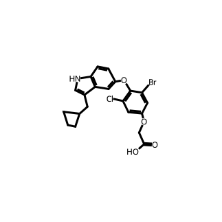 O=C(O)COc1cc(Cl)c(Oc2ccc3[nH]cc(CC4CCC4)c3c2)c(Br)c1